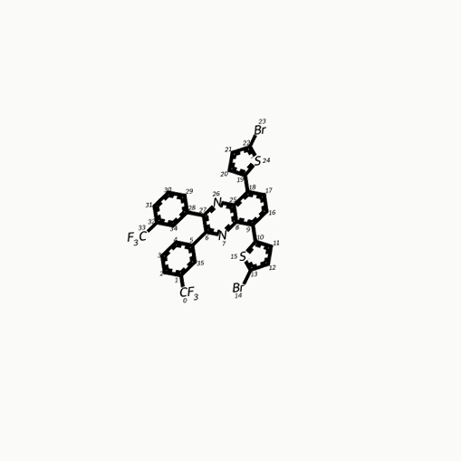 FC(F)(F)c1cccc(-c2nc3c(-c4ccc(Br)s4)ccc(-c4ccc(Br)s4)c3nc2-c2cccc(C(F)(F)F)c2)c1